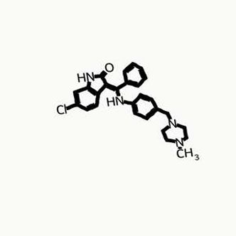 CN1CCN(Cc2ccc(NC(=C3C(=O)Nc4cc(Cl)ccc43)c3ccccc3)cc2)CC1